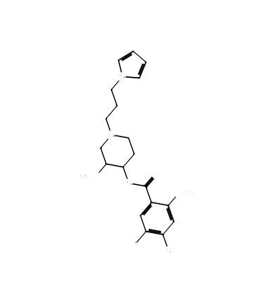 COc1cc(N)c(Cl)cc1C(=O)NC1CCN(CCCn2cccc2)CC1OC